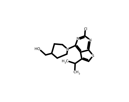 CC(C)c1csc2nc(Cl)nc(N3CCC(CO)CC3)c12